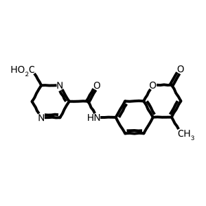 Cc1cc(=O)oc2cc(NC(=O)C3=NC(C(=O)O)CN=C3)ccc12